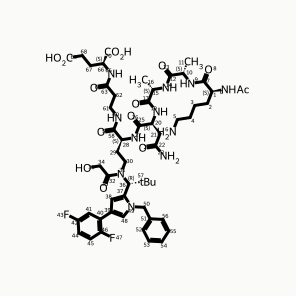 CC(=O)N[C@@H](CCCCN)C(=O)N[C@@H](C)C(=O)N[C@@H](C)C(=O)N[C@@H](CC(N)=O)C(=O)N[C@@H](CCN(C(=O)CO)[C@@H](c1cc(-c2cc(F)ccc2F)cn1Cc1ccccc1)C(C)(C)C)C(=O)NCCC(=O)N[C@@H](CCC(=O)O)C(=O)O